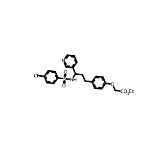 CCOC(=O)COc1ccc(CCC(NS(=O)(=O)c2ccc(Cl)cc2)c2cccnc2)cc1